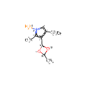 CCOC(=O)c1cn(P)c([N+](=O)[O-])c1C1OC(C)O1